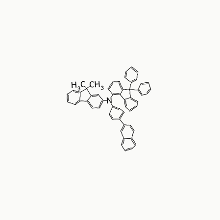 CC1(C)c2ccccc2-c2ccc(N(c3ccc(-c4ccc5ccccc5c4)cc3)c3cccc4c3-c3ccccc3C4(c3ccccc3)c3ccccc3)cc21